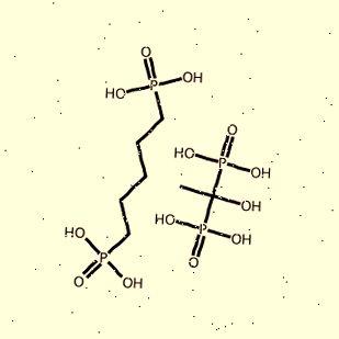 CC(O)(P(=O)(O)O)P(=O)(O)O.O=P(O)(O)CCCCCP(=O)(O)O